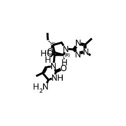 CC[C@@]12CN(c3nc(C)n(C)n3)[C@@H](C(N3C=C(C)C(N)NC3=O)O1)[C@@H]2O